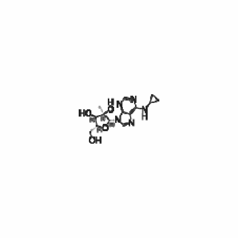 C[C@@]1(O)[C@H](O)[C@@H](CO)O[C@H]1n1cnc2c(NC3CC3)ncnc21